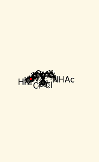 CC(=O)NCC1CCN(Cc2cc(Oc3ccc(N4C5CCC4CNC5)nc3)nc(-c3cc(Cl)cc(Cl)c3)c2)CC1